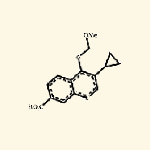 CCOC(=O)c1ccc2c(OCOC)c(C3CC3)cnc2c1